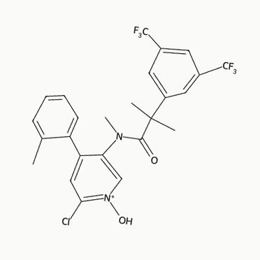 Cc1ccccc1-c1cc(Cl)[n+](O)cc1N(C)C(=O)C(C)(C)c1cc(C(F)(F)F)cc(C(F)(F)F)c1